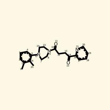 Cc1cccc(N2CCN(C(=O)CCC(=O)c3ccccn3)CC2)c1C